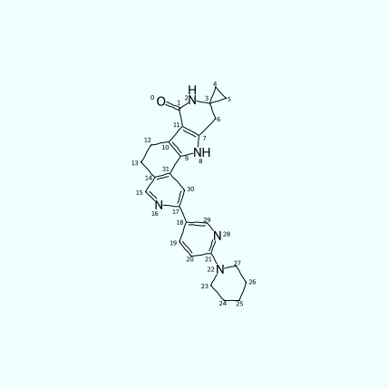 O=C1NC2(CC2)Cc2[nH]c3c(c21)CCc1cnc(-c2ccc(N4CCCCC4)nc2)cc1-3